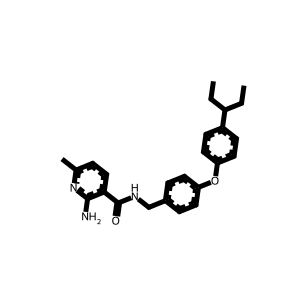 CCC(CC)c1ccc(Oc2ccc(CNC(=O)c3ccc(C)nc3N)cc2)cc1